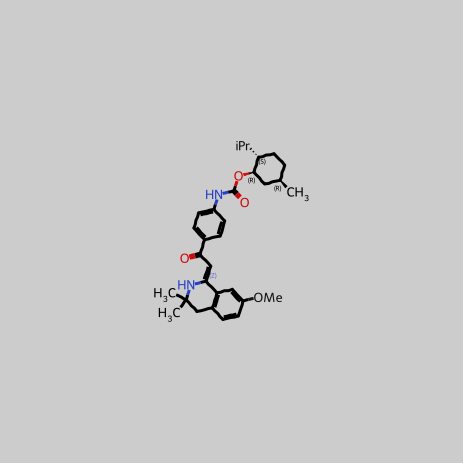 COc1ccc2c(c1)/C(=C/C(=O)c1ccc(NC(=O)O[C@@H]3C[C@H](C)CC[C@H]3C(C)C)cc1)NC(C)(C)C2